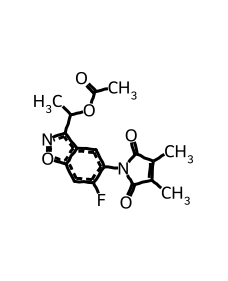 CC(=O)OC(C)c1noc2cc(F)c(N3C(=O)C(C)=C(C)C3=O)cc12